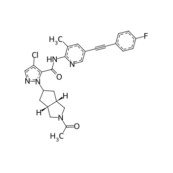 CC(=O)N1C[C@H]2CC(n3ncc(Cl)c3C(=O)Nc3ncc(C#Cc4ccc(F)cc4)cc3C)C[C@H]2C1